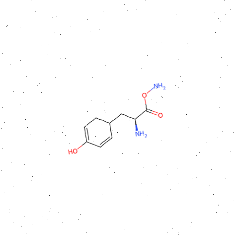 NOC(=O)[C@@H](N)CC1C=CC(O)=CC1